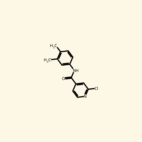 Cc1ccc(NC(=O)c2ccnc(Cl)c2)cc1C